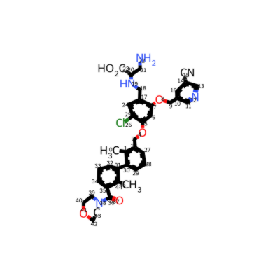 Cc1c(COc2cc(OCc3cncc(C#N)c3)c(CNC(CN)C(=O)O)cc2Cl)cccc1-c1cccc(C(=O)N2CCOCC2)c1C